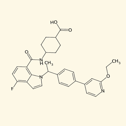 CCOc1cc(-c2ccc(C(C)n3ccc4c(F)ccc(C(=O)NC5CCC(C(=O)O)CC5)c43)cc2)ccn1